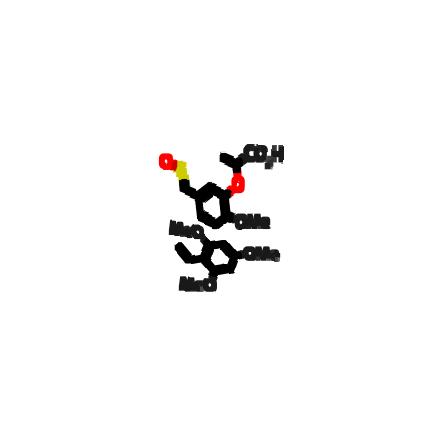 C=Cc1c(OC)cc(OC)cc1OC.COc1ccc(C=S=O)cc1OC(C)C(=O)O